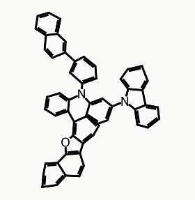 c1cc(-c2ccc3ccccc3c2)cc(N(c2cccc(-n3c4ccccc4c4ccccc43)c2)c2ccccc2-c2cccc3c2oc2c4ccccc4ccc32)c1